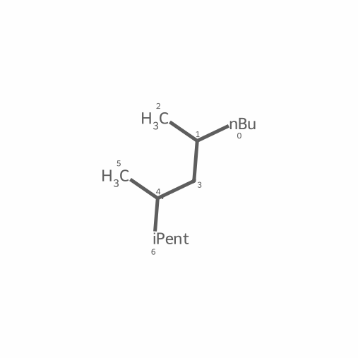 CCCCC(C)C[C](C)C(C)CCC